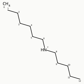 C.CCCCCCNCCCCC